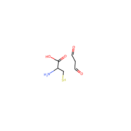 NC(CS)C(=O)O.O=CCC=O